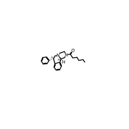 CCCCCC(=O)N1CCN2C[C@@H](c3ccccc3)c3ccccc3[C@@H]2C1